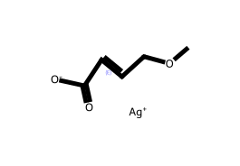 COC/C=C/C(=O)[O-].[Ag+]